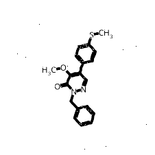 COc1c(-c2ccc(SC)cc2)cnn(Cc2ccccc2)c1=O